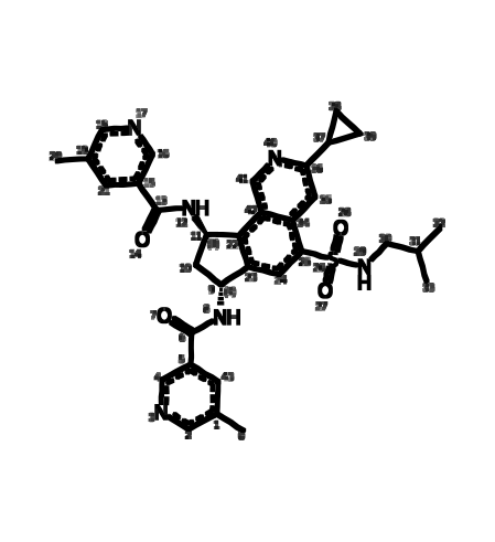 Cc1cncc(C(=O)N[C@@H]2C[C@@H](NC(=O)c3cncc(C)c3)c3c2cc(S(=O)(=O)NCC(C)C)c2cc(C4CC4)ncc32)c1